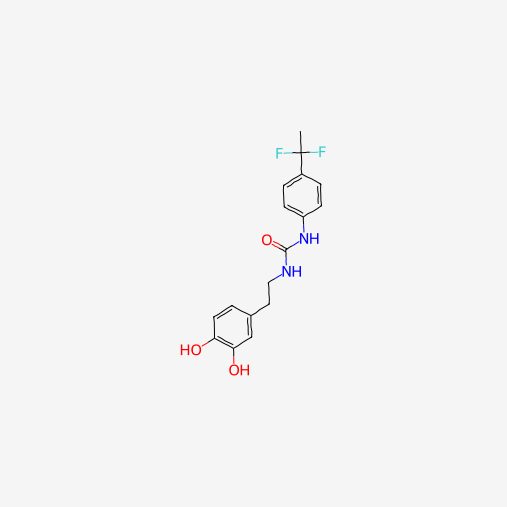 CC(F)(F)c1ccc(NC(=O)NCCc2ccc(O)c(O)c2)cc1